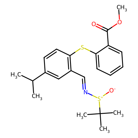 COC(=O)c1ccccc1Sc1ccc(C(C)C)cc1/C=N/[S+]([O-])C(C)(C)C